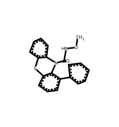 CONC(=O)N1c2ccccc2Sc2cccc(-c3ccccc3)c21